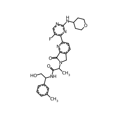 Cc1cccc(C(CO)NC(=O)C(C)N2Cc3ccc(-c4nc(NC5CCOCC5)ncc4F)nc3C2=O)c1